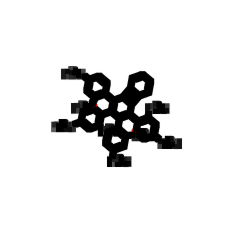 CCCCc1ccc(-c2c(-c3ccc(CCCC)cc3CCCC)c(-c3ccc(CCCC)cc3CCCC)c3c(c2-c2ccc(CCCC)cc2CCCC)=c2ccccc2=3)c(CCCC)c1